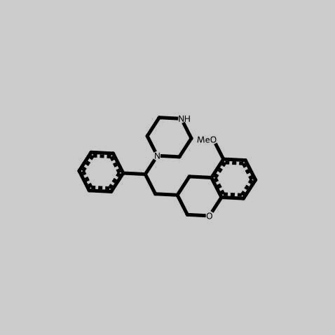 COc1cccc2c1CC(CC(c1ccccc1)N1CCNCC1)CO2